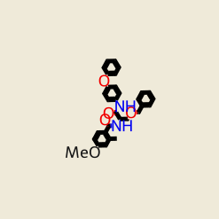 COc1ccc(C(=O)NC(COCc2ccccc2)C(=O)Nc2ccc(Oc3ccccc3)cc2)c(C)c1